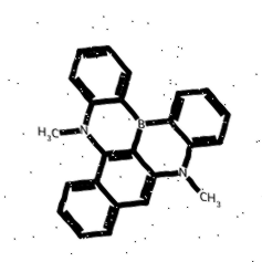 CN1c2ccccc2B2c3ccccc3N(C)c3c2c1cc1ccccc31